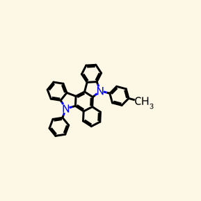 Cc1ccc(-n2c3ccccc3c3c4c5ccccc5n(-c5ccccc5)c4c4ccccc4c32)cc1